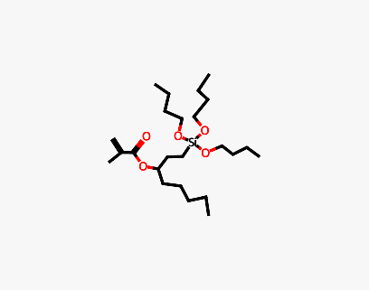 C=C(C)C(=O)OC(CCCCC)CC[Si](OCCCC)(OCCCC)OCCCC